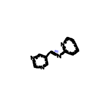 C(=N\c1ccccn1)/c1cncnc1